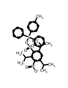 Cc1ccc(S(OS(=O)(=O)c2c(C(C)C)cc(C(C)C)c([N+](=O)[O-])c2C(C)C)(c2ccccc2)c2ccccc2)cc1